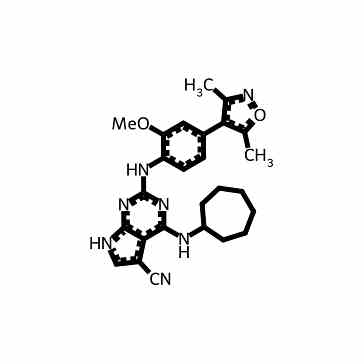 COc1cc(-c2c(C)noc2C)ccc1Nc1nc(NC2CCCCCC2)c2c(C#N)c[nH]c2n1